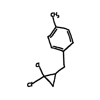 Cc1ccc(CC2CC2(Cl)Cl)cc1